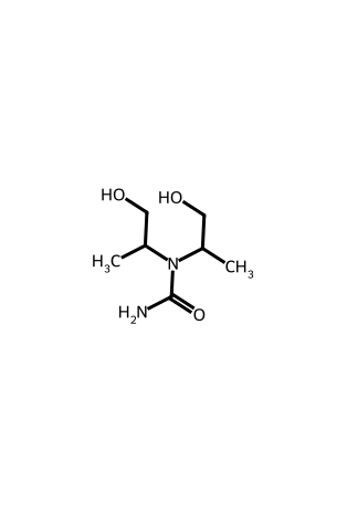 CC(CO)N(C(N)=O)C(C)CO